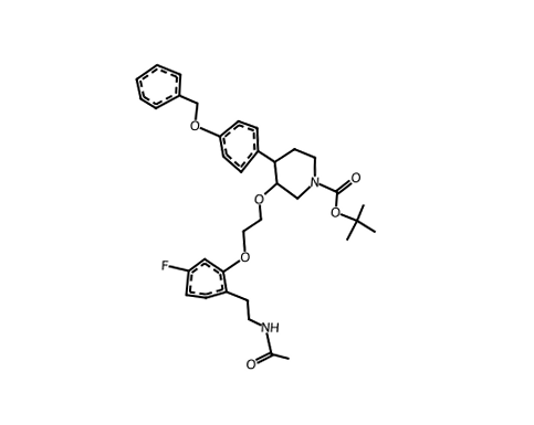 CC(=O)NCCc1ccc(F)cc1OCCOC1CN(C(=O)OC(C)(C)C)CCC1c1ccc(OCc2ccccc2)cc1